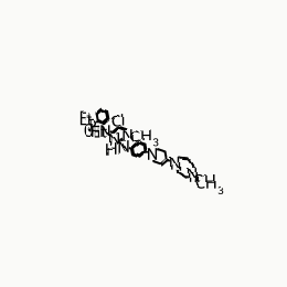 CCP(=O)(CC)c1ccccc1Nc1nc(Nc2ccc(N3CCC(N4CCCN(C)CC4)CC3)cc2C)ncc1Cl